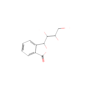 O=C1OC(C(O)C(O)CO)c2ccccc21